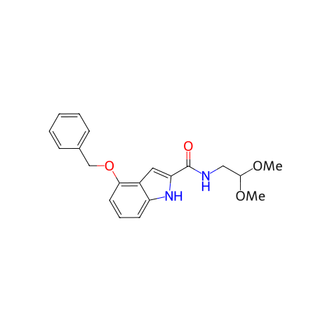 COC(CNC(=O)c1cc2c(OCc3ccccc3)cccc2[nH]1)OC